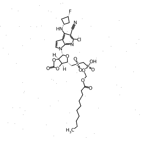 CCCCCCCCCC(=O)OCOP(=O)(O)CS(=O)(=O)C[C@H]1O[C@@H](n2ccc3c(N[C@H]4C[C@@H](F)C4)c(C#N)c(Cl)nc32)[C@@H]2OC(=O)O[C@@H]21